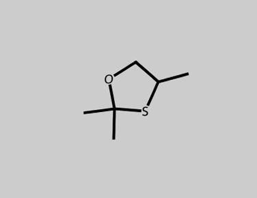 CC1COC(C)(C)S1